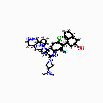 CN(C)C1CN(c2nc3c(F)c(-c4cc(O)cc5ccccc45)c(Cl)cc3c3c2nc(CC2CCNCC2)n3C2C3CNC2C3)C1